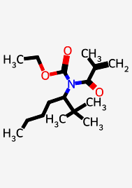 C=C(C)C(=O)N(C(=O)OCC)C(CCCC)C(C)(C)C